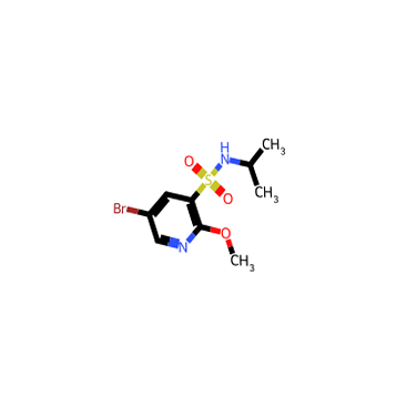 COc1ncc(Br)cc1S(=O)(=O)NC(C)C